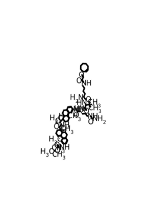 CC(C)[C@H](NC(=O)[C@H](N)CCCCNC(=O)COC1C#CCCCCC1)C(=O)N[C@@H](CCCNC(N)=O)C(=O)Nc1ccc2c(c1)[C@@]1(C)CCC[C@](C)(C(=O)NC(=O)[C@@]3(C)CCC[C@]4(C)c5cc(NC(=O)OC(C)(C)C)ccc5CC[C@@H]34)[C@@H]1CC2